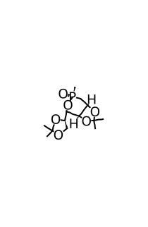 CC1(C)OC[C@H]([C@H]2O[P@](C)(=O)C[C@H]3OC(C)(C)O[C@@H]23)O1